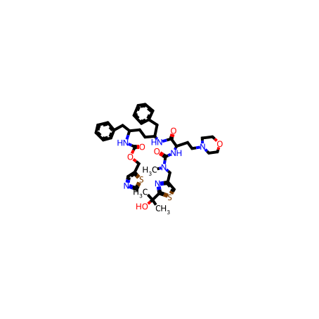 CN(Cc1csc(C(C)(C)O)n1)C(=O)NC(CCN1CCOCC1)C(=O)NC(CCC(Cc1ccccc1)NC(=O)OCc1cncs1)Cc1ccccc1